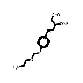 CCOC(=O)C(/C=C/c1ccc(NCOCCN)cc1)CC=O